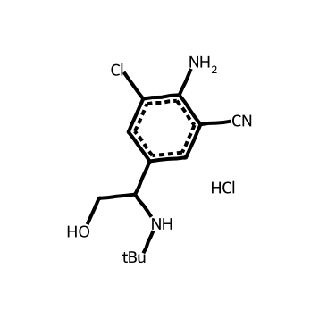 CC(C)(C)NC(CO)c1cc(Cl)c(N)c(C#N)c1.Cl